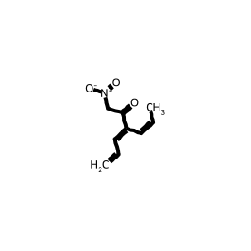 C=C/C=C(\C=C/C)C(=O)C[N+](=O)[O-]